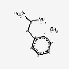 B.NC(Cc1ccccc1)C(=O)O